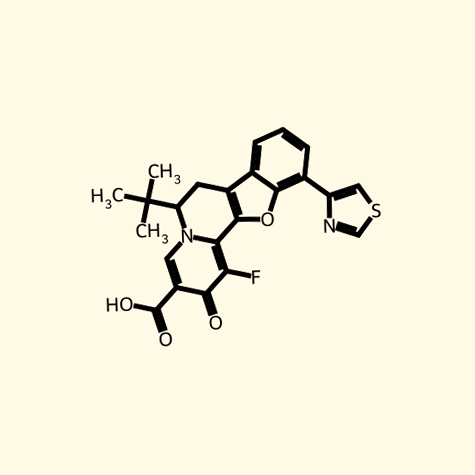 CC(C)(C)C1Cc2c(oc3c(-c4cscn4)cccc23)-c2c(F)c(=O)c(C(=O)O)cn21